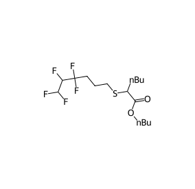 CCCCOC(=O)C(CCCC)SCCCC(F)(F)C(F)C(F)F